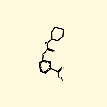 CC(=O)c1cccc(OC(=O)NC2CCCCC2)c1